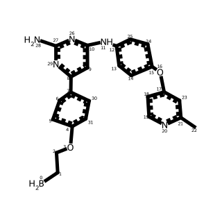 BCCOc1ccc(-c2cc(Nc3ccc(Oc4ccnc(C)c4)cc3)nc(N)n2)cc1